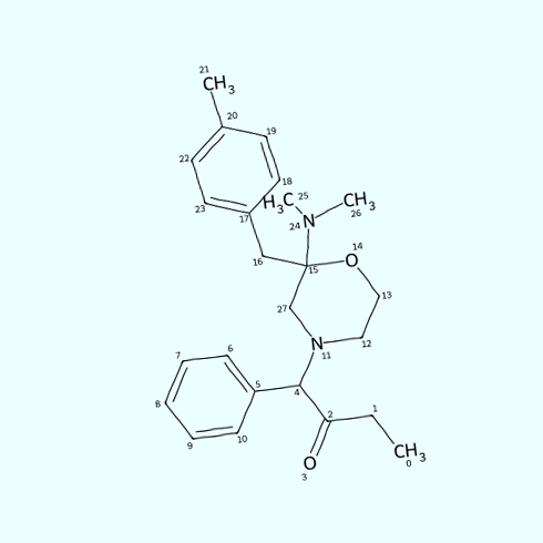 CCC(=O)C(c1ccccc1)N1CCOC(Cc2ccc(C)cc2)(N(C)C)C1